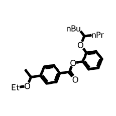 CCCCC(CCC)Oc1ccccc1OC(=O)c1ccc(C(C)OCC)cc1